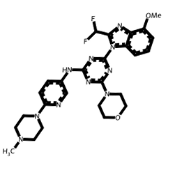 COc1cccc2c1nc(C(F)F)n2-c1nc(Nc2ccc(N3CCN(C)CC3)nc2)nc(N2CCOCC2)n1